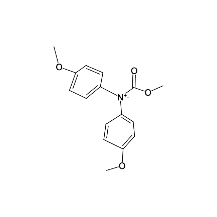 COC(=O)[N+](c1ccc(OC)cc1)c1ccc(OC)cc1